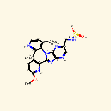 CCOc1cccc(-c2nc3ncc(CN[SH](=O)=O)nc3n2-c2c(OC)ccnc2OC)n1